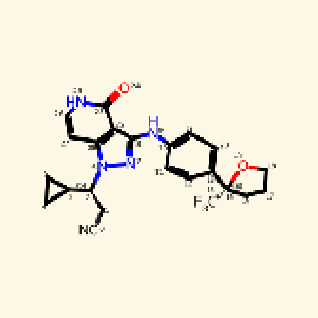 N#CC[C@@H](C1CC1)n1nc(Nc2ccc([C@]3(C(F)(F)F)CCCO3)cc2)c2c(=O)[nH]ccc21